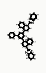 c1ccc(-c2cc(-c3ccc(-c4nc5ccccc5s4)c4ccccc34)cc(-c3ccc(-c4nc5ccccc5s4)c4ccccc34)c2)cc1